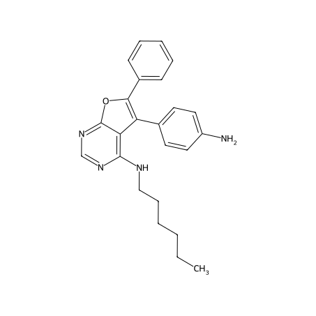 CCCCCCNc1ncnc2oc(-c3ccccc3)c(-c3ccc(N)cc3)c12